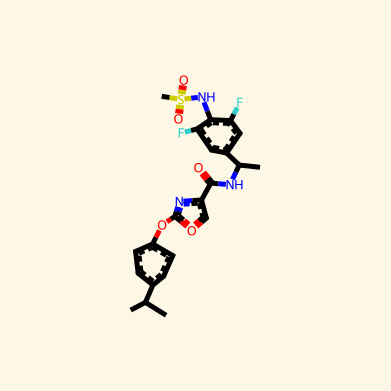 CC(C)c1ccc(Oc2nc(C(=O)NC(C)c3cc(F)c(NS(C)(=O)=O)c(F)c3)co2)cc1